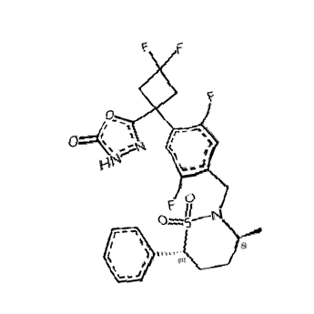 C[C@H]1CC[C@H](c2ccccc2)S(=O)(=O)N1Cc1cc(F)c(C2(c3n[nH]c(=O)o3)CC(F)(F)C2)cc1F